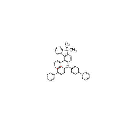 CC1(C)c2ccccc2-c2c1ccc(N(c1ccc(-c3ccccc3)cc1)c1ccc(-c3ccccc3)cc1)c2-c1ccccc1